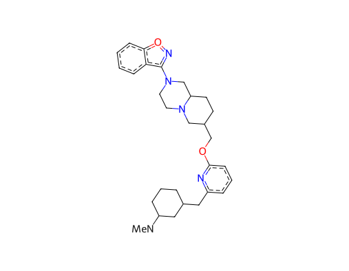 CNC1CCCC(Cc2cccc(OCC3CCC4CN(c5noc6ccccc56)CCN4C3)n2)C1